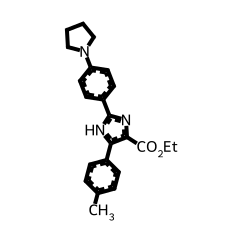 CCOC(=O)c1nc(-c2ccc(N3CCCC3)cc2)[nH]c1-c1ccc(C)cc1